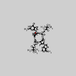 CC(C)(C)C(=O)OCOP1(=O)OC[C@H]2O[C@@H](n3cnc4c(N)ncnc43)C(F)C2OP(=O)(OCOC(=O)C(C)(C)C)OC[C@H]2O[C@@H](n3cnc4c(=O)[nH]c(N)nc43)C(O1)C2O